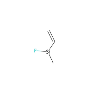 C=C[Si](C)F